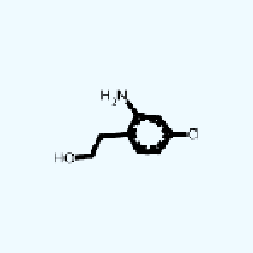 Nc1cc(Cl)ccc1CCO